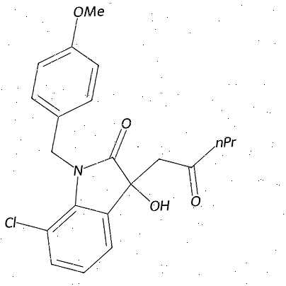 CCCC(=O)CC1(O)C(=O)N(Cc2ccc(OC)cc2)c2c(Cl)cccc21